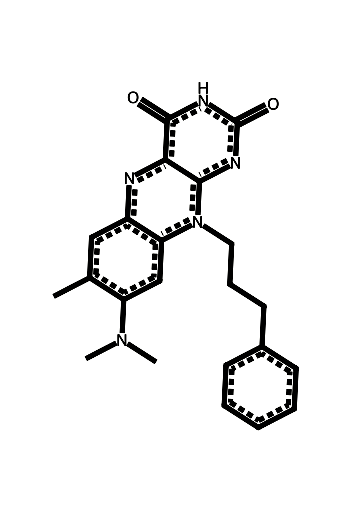 Cc1cc2nc3c(=O)[nH]c(=O)nc-3n(CCCc3ccccc3)c2cc1N(C)C